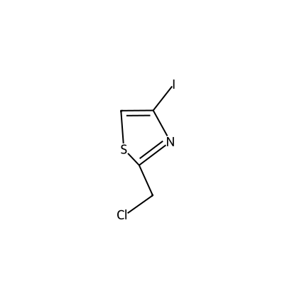 ClCc1nc(I)cs1